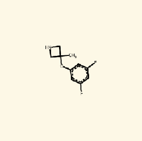 CC1(Oc2cc(F)cc(F)c2)CNC1